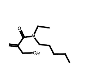 C=C(CO)C(=O)N(CC)CCCCC